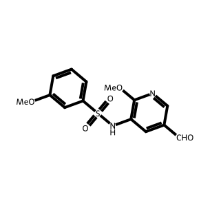 COc1cccc(S(=O)(=O)Nc2cc(C=O)cnc2OC)c1